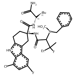 CC[C@H](C)[C@H](NC(=O)[C@@]1(NC(=O)C(N(Cc2ccccc2)C(=O)O)C(C)(F)CC)CCc2[nH]c3c(Cl)cc(F)cc3c2C1)C(N)=O